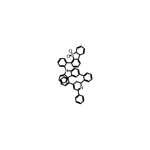 O=S1(=O)c2c(-c3ccccc3-n3c4ccccc4c4cc(-c5ccccc5C5CC(c6ccccc6)=CC(c6ccccc6)=N5)ccc43)cccc2C2C=CC=CC21